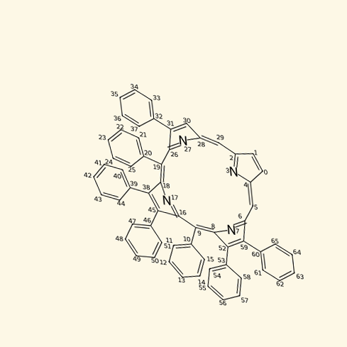 C1=CC2=NC1=CC1=NC(=C(c3ccccc3)C3=NC(=C(c4ccccc4)C4=NC(=C2)C=C4c2ccccc2)C(c2ccccc2)=C3c2ccccc2)C(c2ccccc2)=C1c1ccccc1